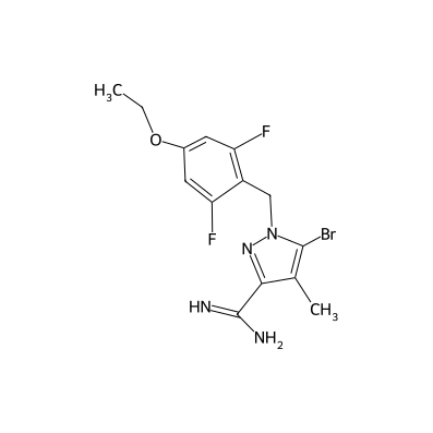 CCOc1cc(F)c(Cn2nc(C(=N)N)c(C)c2Br)c(F)c1